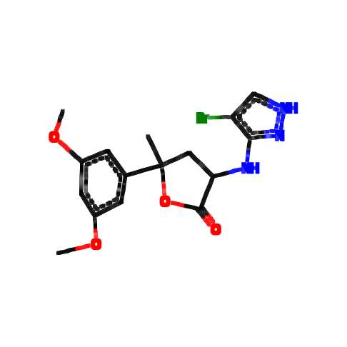 COc1cc(OC)cc(C2(C)CC(Nc3n[nH]cc3Br)C(=O)O2)c1